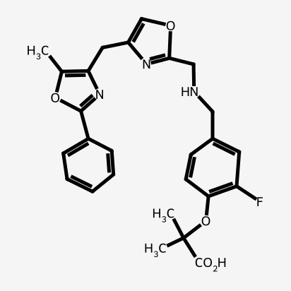 Cc1oc(-c2ccccc2)nc1Cc1coc(CNCc2ccc(OC(C)(C)C(=O)O)c(F)c2)n1